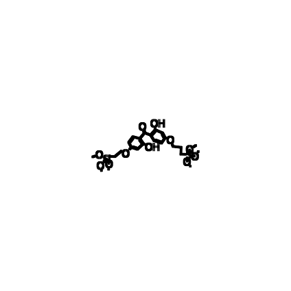 CO[Si](CCCOc1ccc(C(=O)c2ccc(OCCC[Si](OC)(OC)OC)cc2O)c(O)c1)(OC)OC